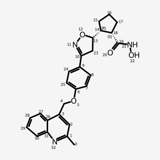 Cc1cc(COc2ccc(C3=NOC([C@@H]4CCC[C@@H]4C(=O)NO)C3)cc2)c2ccccc2n1